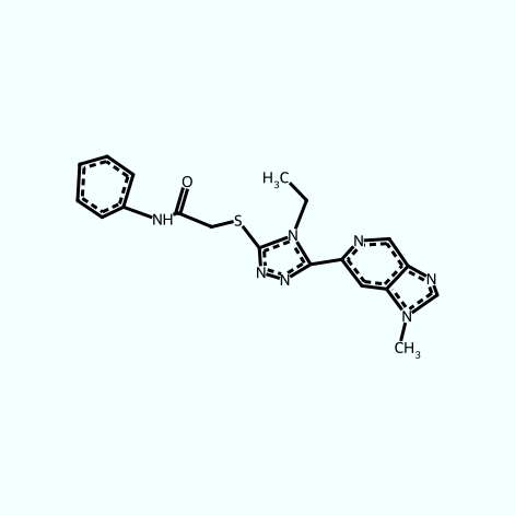 CCn1c(SCC(=O)Nc2ccccc2)nnc1-c1cc2c(cn1)ncn2C